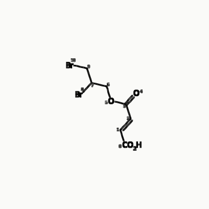 O=C(O)C=CC(=O)OCC(Br)CBr